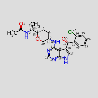 CC(=O)N[C@@H](C)[C@@H]1CC[C@@H](Nc2ncnc3[nH]cc(C(=O)c4ccccc4Cl)c23)CO1